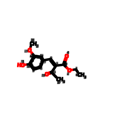 CCOC(=O)/C(=C/c1ccc(O)c(OC)c1)C(C)=O